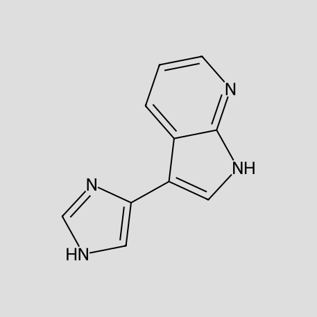 c1cnc2[nH]cc(-c3c[nH]cn3)c2c1